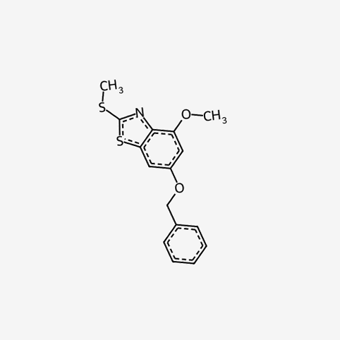 COc1cc(OCc2ccccc2)cc2sc(SC)nc12